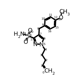 C=CCCCn1cc(Cc2ccc(OC)cc2)c(S(N)(=O)=O)n1